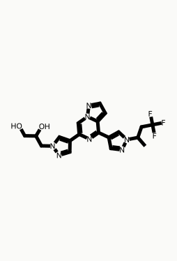 CC(CC(F)(F)F)n1cc(-c2nc(-c3cnn(CC(O)CO)c3)cn3nccc23)cn1